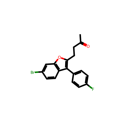 CC(=O)CCc1oc2cc(Br)ccc2c1-c1ccc(F)cc1